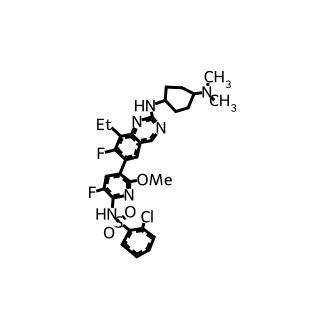 CCc1c(F)c(-c2cc(F)c(NS(=O)(=O)c3ccccc3Cl)nc2OC)cc2cnc(NC3CCC(N(C)C)CC3)nc12